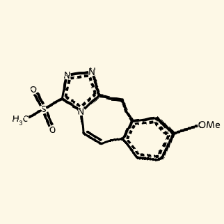 COc1ccc2c(c1)Cc1nnc(S(C)(=O)=O)n1C=C2